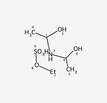 CC(O)NC(C)O.CCOS(=O)(=O)O